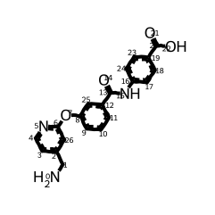 NCc1ccnc(Oc2cccc(C(=O)Nc3ccc(C(=O)O)cc3)c2)c1